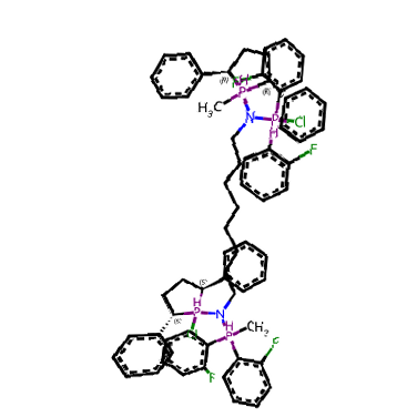 C[PH](c1ccccc1F)(c1ccccc1F)N(CCCCCCCCN([PH](Cl)(c1ccccc1F)c1ccccc1F)[PH]1(C)[C@@H](c2ccccc2)CC[C@@H]1c1ccccc1)[PH]1(Cl)[C@H](c2ccccc2)CC[C@H]1c1ccccc1